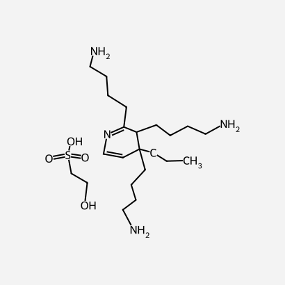 CCCC1(CCCCN)C=CN=C(CCCCN)C1CCCCN.O=S(=O)(O)CCO